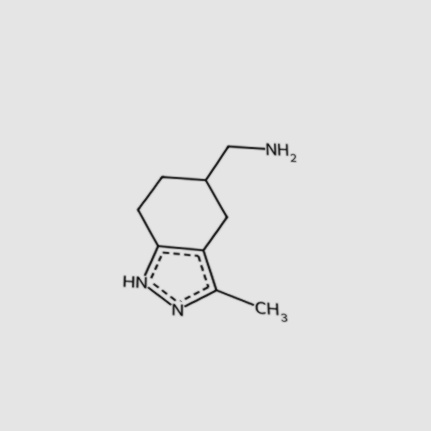 Cc1n[nH]c2c1CC(CN)CC2